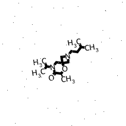 CC(C)CCN1CC2(C1)CN(C(C)C)C(=O)[C@H](C)O2